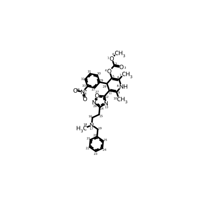 COC(=O)OC1=C(C)NC(C)=C(c2nc(CCN(C)Cc3ccccc3)no2)C1c1cccc([N+](=O)[O-])c1